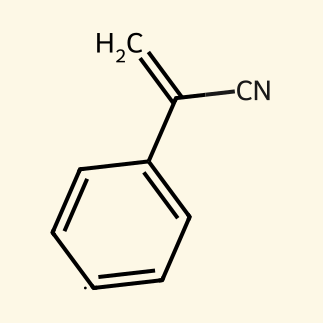 C=C(C#N)c1cc[c]cc1